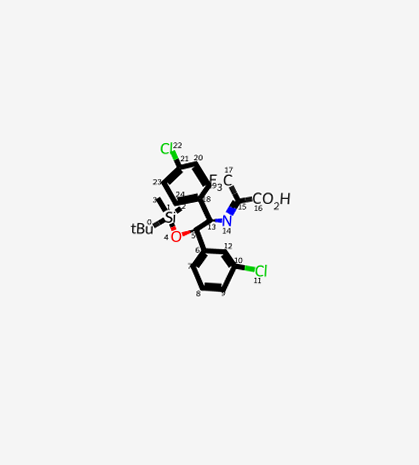 CC(C)(C)[Si](C)(C)O[C@H](c1cccc(Cl)c1)[C@H](N=C(C(=O)O)C(F)(F)F)c1ccc(Cl)cc1